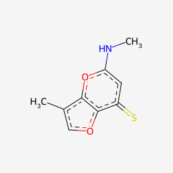 CNc1cc(=S)c2occ(C)c2o1